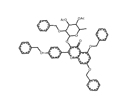 CC(=O)OC1C(C)OC(Oc2c(-c3ccc(OCc4ccccc4)cc3)oc3cc(OCc4ccccc4)cc(OCc4ccccc4)c3c2=O)C(OCc2ccccc2)C1OC(C)=O